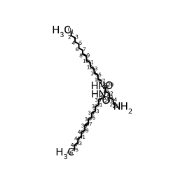 CCCCCCCCC=CCCCCCCCCNC(=O)C(CCCCN)NC(=O)CCCCCCCC=CCCCCCCCC